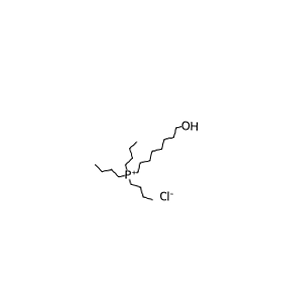 CCCC[P+](CCCC)(CCCC)CCCCCCCCO.[Cl-]